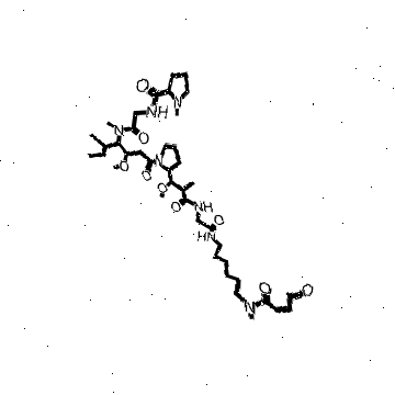 CCC(C)C(C(CC(=O)N1CCCC1C(OC)C(C)C(=O)NCC(=O)NCCCCCCN(C)C(=O)/C=C\C=O)OC)N(C)C(=O)CNC(=O)C1CCCN1C